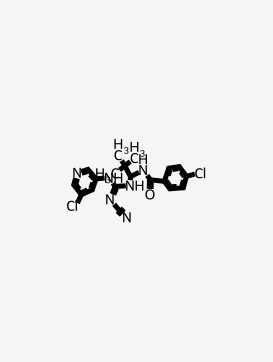 CC(C)(C)C(NC(=O)c1ccc(Cl)cc1)N/C(=N\C#N)Nc1cncc(Cl)c1